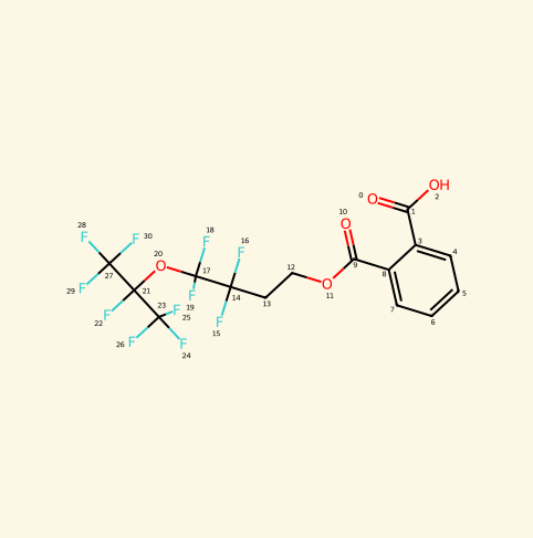 O=C(O)c1ccccc1C(=O)OCCC(F)(F)C(F)(F)OC(F)(C(F)(F)F)C(F)(F)F